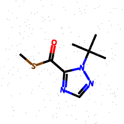 CSC(=O)c1ncnn1C(C)(C)C